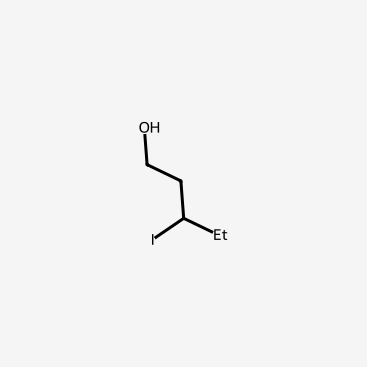 CCC(I)CCO